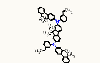 C=Cc1cccc(N(c2ccc(-c3ccccc3C)c(C)c2)c2ccc3c(c2)C(C)(C)c2cc(N(c4cccc(C=C)c4)c4ccc(-c5ccccc5C)c(C)c4)ccc2-3)c1